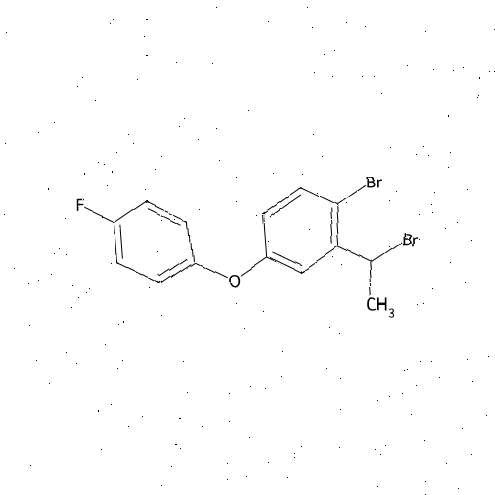 CC(Br)c1cc(Oc2ccc(F)cc2)ccc1Br